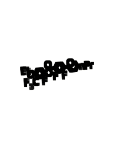 CCCC1CC=C(c2ccc(C(=O)Oc3ccc(OCC)c(C(F)(F)F)c3F)c(F)c2F)OC1